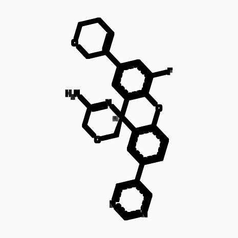 NC1=N[C@@]2(COC1)c1cc(-c3cncnc3)ccc1Oc1c(F)cc(C3=CCCOC3)cc12